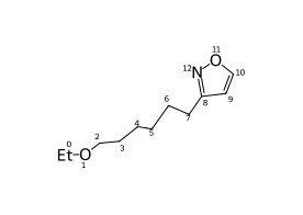 [CH2]COCCCCCCc1ccon1